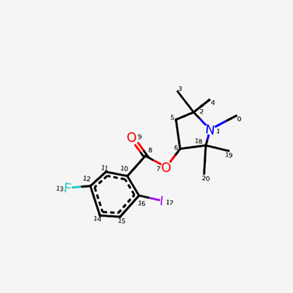 CN1C(C)(C)CC(OC(=O)c2cc(F)ccc2I)C1(C)C